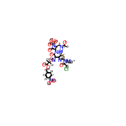 CC(=O)NCC1C(NC(=O)C(=NOC(C)(C)C(=O)OCc2ccc([N+](=O)[O-])cc2)c2csc(NC(=O)CCl)n2)C(=O)N1S(=O)(=O)[O-].[Na+]